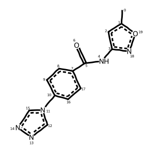 Cc1cc(NC(=O)c2ccc(-n3cnnc3)cc2)no1